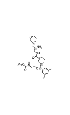 COC(=O)NCCO[C@@H](c1cc(F)cc(F)c1)[C@@H]1CCCN(C(=O)NC[C@@H](N)C[C@H]2CCCOC2)C1